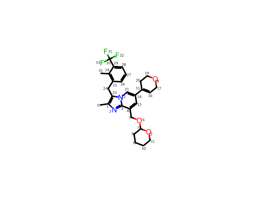 Cc1nc2c(COC3CCCCO3)cc(C3=CCOCC3)cn2c1Cc1cccc(C(F)(F)F)c1C